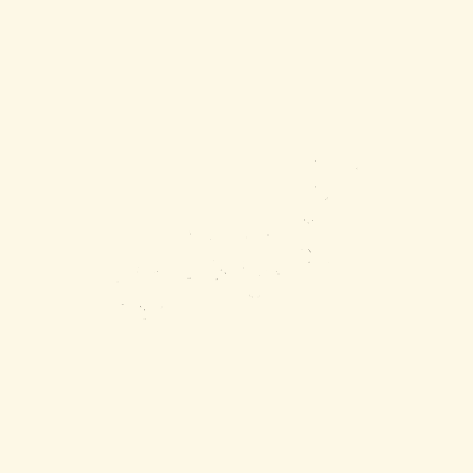 C[C@H](NCc1ccccc1)c1ccc2c(c1)ncn2-c1cccc(-c2cccnc2)c1